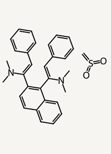 C=S(=O)=O.CN(C)C(=Cc1ccccc1)c1ccc2ccccc2c1C(=Cc1ccccc1)N(C)C